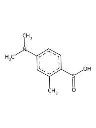 Cc1cc(N(C)C)ccc1S(=O)O